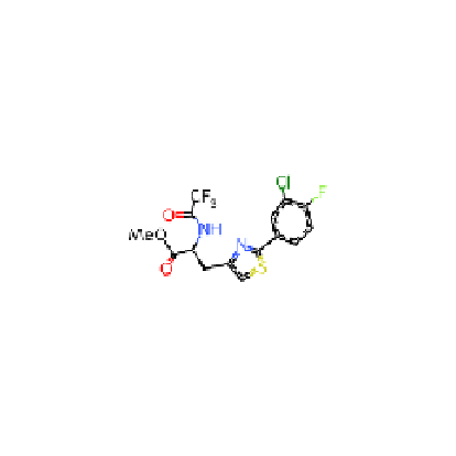 COC(=O)[C@H](Cc1csc(-c2ccc(F)c(Cl)c2)n1)NC(=O)C(F)(F)F